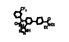 CCN(CC)C(=O)c1ccc(-c2ccc(N(C(N)=O)c3cccc(C(F)(F)F)c3)c(-c3nnn[nH]3)c2)cc1